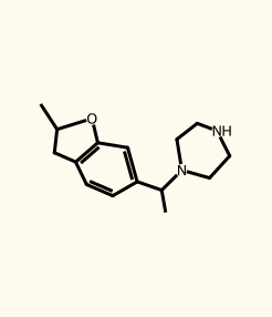 CC1Cc2ccc(C(C)N3CCNCC3)cc2O1